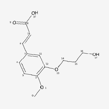 COc1ccc(C=CC(=O)O)cc1OCCCO